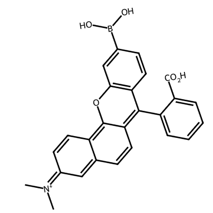 C[N+](C)=c1ccc2c(ccc3c(-c4ccccc4C(=O)O)c4ccc(B(O)O)cc4oc32)c1